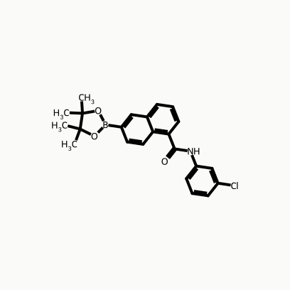 CC1(C)OB(c2ccc3c(C(=O)Nc4cccc(Cl)c4)cccc3c2)OC1(C)C